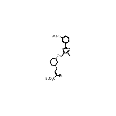 CCOC(=O)/C(=C/C[C@H]1CCC[C@@H](OCc2nc(-c3cccc(OC)c3)oc2C)C1)CC